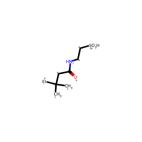 CCC(C)(C)CC(=O)NCCS(=O)(=O)O